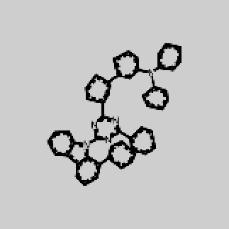 c1ccc(-c2nc(-c3cccc(-c4cccc(N(c5ccccc5)c5ccccc5)c4)c3)nc(-n3c4ccccc4c4cccc(-c5ccccc5)c43)n2)cc1